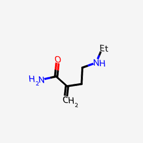 C=C(CCNCC)C(N)=O